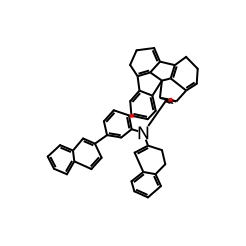 C1=CC2C3=CCCC4=C3C3(C5=C(CCC=C45)c4ccccc43)C2C=C1N(C1=Cc2ccccc2CC1)c1cccc(-c2ccc3ccccc3c2)c1